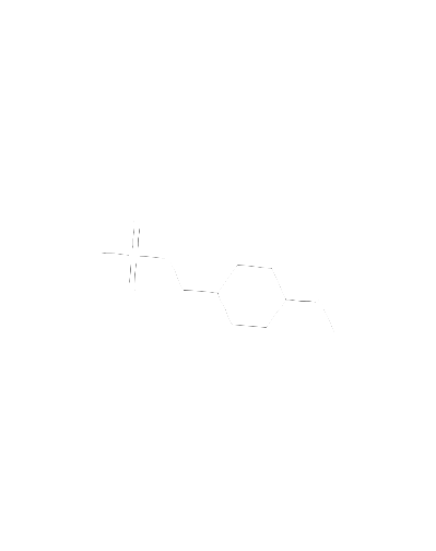 CSC1CCC(COS(C)(=O)=O)CC1